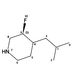 CC(C)CC1CCNC[C@H]1F